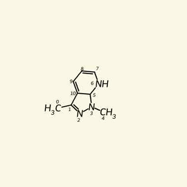 CC1=NN(C)C2NC=CC=C12